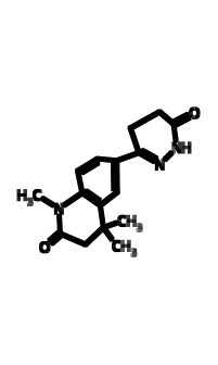 CN1C(=O)CC(C)(C)c2cc(C3=NNC(=O)CC3)ccc21